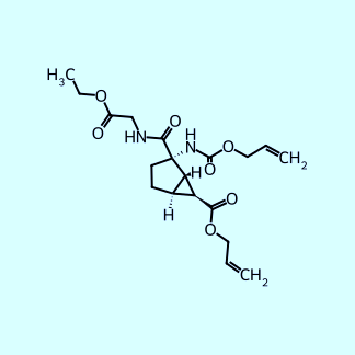 C=CCOC(=O)N[C@@]1(C(=O)NCC(=O)OCC)CC[C@@H]2[C@H](C(=O)OCC=C)[C@H]21